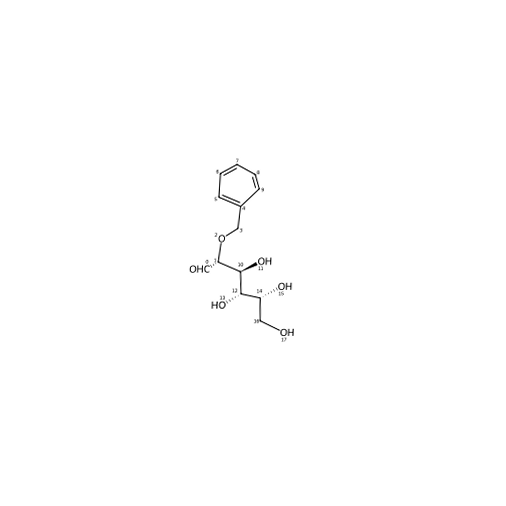 O=C[C@H](OCc1ccccc1)[C@@H](O)[C@@H](O)[C@H](O)CO